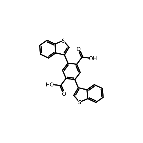 O=C(O)c1cc(-c2csc3ccccc23)c(C(=O)O)cc1-c1csc2ccccc12